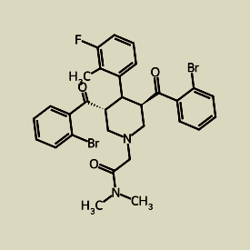 Cc1c(F)cccc1C1[C@@H](C(=O)c2ccccc2Br)CN(CC(=O)N(C)C)C[C@@H]1C(=O)c1ccccc1Br